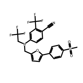 CS(=O)(=O)c1ccc(-c2ccc(CN(CC(F)(F)F)c3ccc(C#N)c(C(F)(F)F)c3)o2)cc1